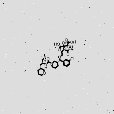 CNC[C@H](C[C@H]1CCCOC1)NC(=O)N1CCC[C@@H](C(OCCN(C(=O)OC)C(O)(C(=O)O)C(O)C(=O)O)c2cccc(Cl)c2)C1